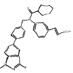 Cn1nc(F)c2cc(-c3ccc(CN(C(=O)C4CCCCC4)c4cccc(C=CC(=O)O)c4)cc3)ccc21